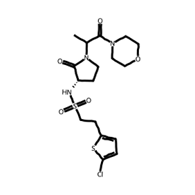 CC(C(=O)N1CCOCC1)N1CC[C@H](NS(=O)(=O)CCc2ccc(Cl)s2)C1=O